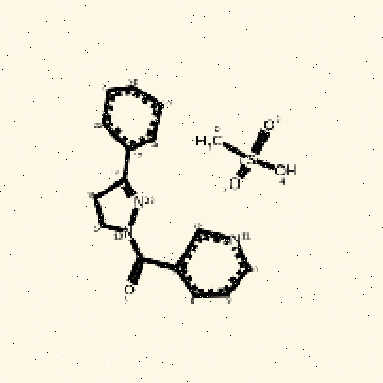 CS(=O)(=O)O.O=C(c1cccnc1)N1CCC(c2ccccc2)=N1